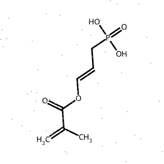 C=C(C)C(=O)OC=CCP(=O)(O)O